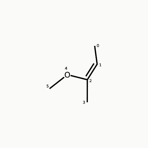 C/C=C(/C)OC